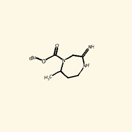 CC1CCNC(=N)CN1C(=O)OC(C)(C)C